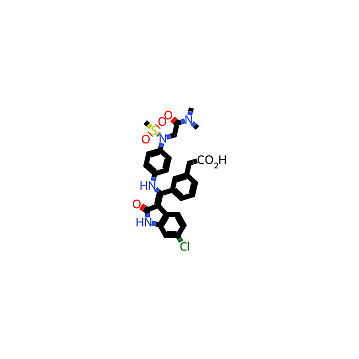 CN(C)C(=O)CN(c1ccc(N/C(=C2\C(=O)Nc3cc(Cl)ccc32)c2cccc(CC(=O)O)c2)cc1)S(C)(=O)=O